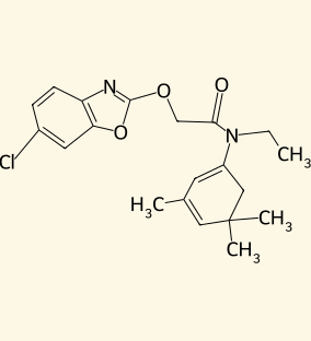 CCN(C(=O)COc1nc2ccc(Cl)cc2o1)C1=CC(C)=CC(C)(C)C1